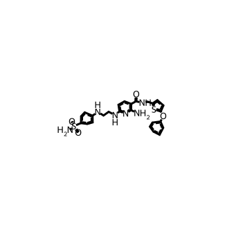 Nc1nc(NCCNc2ccc(S(N)(=O)=O)cc2)ccc1C(=O)NCc1ccc(Oc2ccccc2)s1